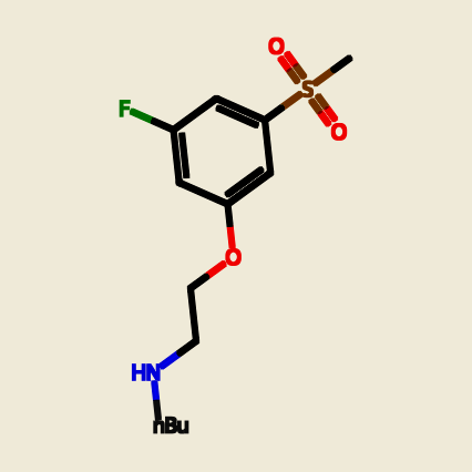 CCCCNCCOc1cc(F)cc(S(C)(=O)=O)c1